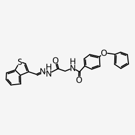 O=C(CNC(=O)c1ccc(Oc2ccccc2)cc1)N/N=C/c1csc2ccccc12